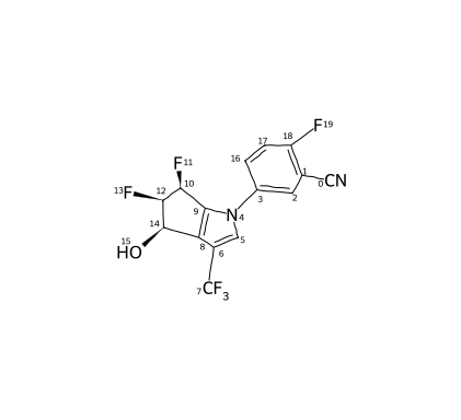 N#Cc1cc(-n2cc(C(F)(F)F)c3c2[C@H](F)[C@H](F)[C@@H]3O)ccc1F